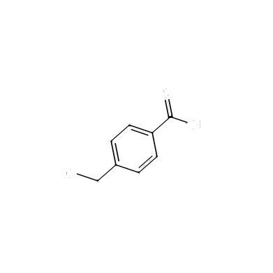 OC(=S)c1ccc(CCl)cc1